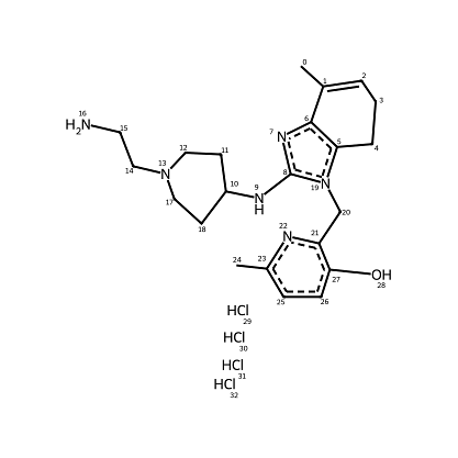 CC1=CCCc2c1nc(NC1CCN(CCN)CC1)n2Cc1nc(C)ccc1O.Cl.Cl.Cl.Cl